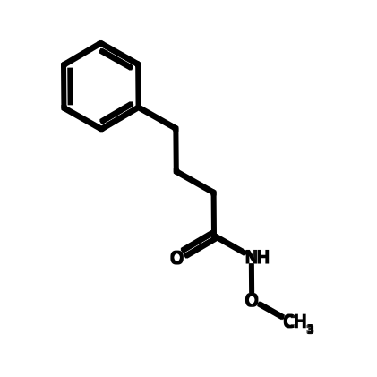 CONC(=O)CCCc1ccccc1